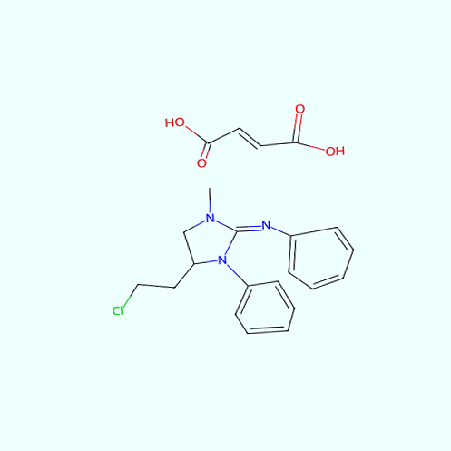 CN1CC(CCCl)N(c2ccccc2)/C1=N\c1ccccc1.O=C(O)/C=C/C(=O)O